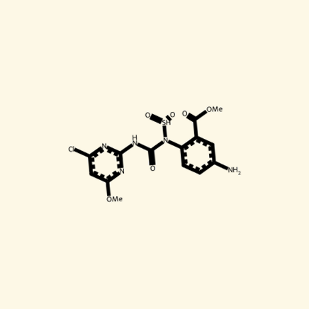 COC(=O)c1cc(N)ccc1N(C(=O)Nc1nc(Cl)cc(OC)n1)[SH](=O)=O